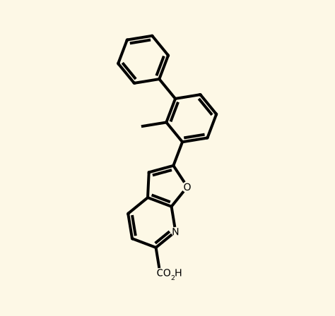 Cc1c(-c2ccccc2)cccc1-c1cc2ccc(C(=O)O)nc2o1